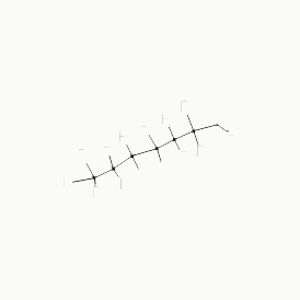 FCC(F)(F)C(F)(F)C(F)(F)C(F)(F)C(F)(F)C(F)(F)F